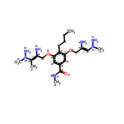 CCCCc1c(OC/C(N)=C/N(C)N)cc(C(=O)NC)cc1OC/C(N)=C(\C)N(C)N